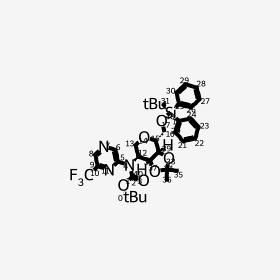 CC(C)(C)OC(=O)N(c1cncc(C(F)(F)F)n1)[C@H]1CO[C@H](CO[Si](c2ccccc2)(c2ccccc2)C(C)(C)C)[C@@H]2OC(C)(C)O[C@@H]21